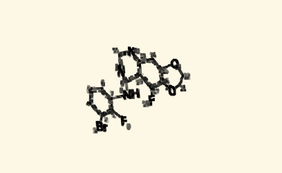 Fc1c(Br)cccc1Nc1ncnc2cc3c(c(F)c12)OCCO3